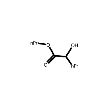 CCCOC(=O)C(O)CCC